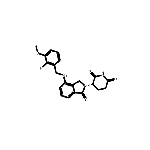 COc1cccc(CNc2cccc3c2CN([C@H]2CCC(=O)NC2=O)C3=O)c1F